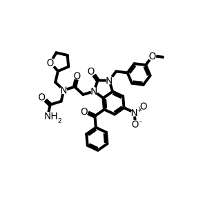 COc1cccc(Cn2c(=O)n(CC(=O)N(CC(N)=O)CC3CCCO3)c3c(C(=O)c4ccccc4)cc([N+](=O)[O-])cc32)c1